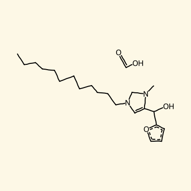 CCCCCCCCCCCCN1C=C(C(O)c2ccco2)N(C)C1.O=CO